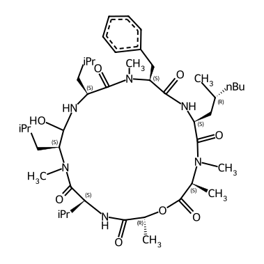 CCCC[C@@H](C)C[C@@H]1NC(=O)[C@H](Cc2ccccc2)N(C)C(=O)[C@H](CC(C)C)NC(O)[C@H](CC(C)C)N(C)C(=O)[C@H](C(C)C)NC(=O)[C@@H](C)OC(=O)[C@H](C)N(C)C1=O